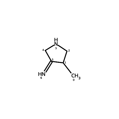 CC1CNCC1=N